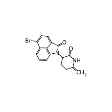 C=C1CCC(N2C(=O)c3ccc(Br)c4cccc2c34)C(=O)N1